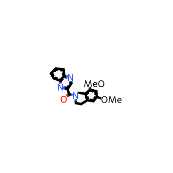 COc1cc2c(c(OC)c1)CN(C(=O)c1cnc3ccccc3n1)CC2